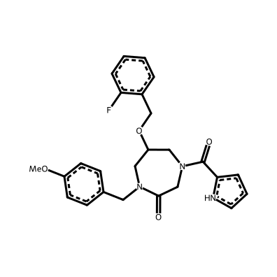 COc1ccc(CN2CC(OCc3ccccc3F)CN(C(=O)c3ccc[nH]3)CC2=O)cc1